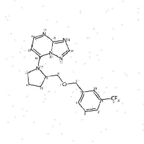 FC(F)(F)c1cccc(COCC2CCCN2c2ccnc3ncnn23)c1